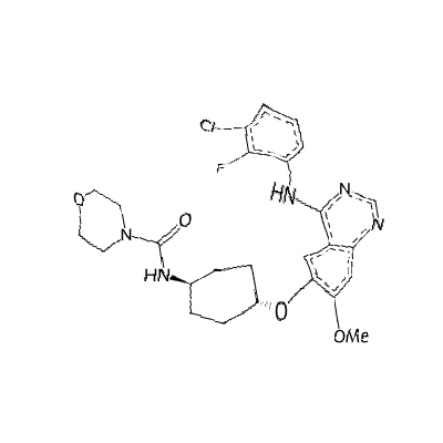 COc1cc2ncnc(Nc3cccc(Cl)c3F)c2cc1O[C@H]1CC[C@H](NC(=O)N2CCOCC2)CC1